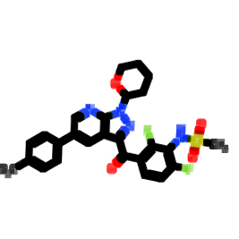 CS(=O)(=O)Nc1c(F)ccc(C(=O)c2nn(C3CCCCO3)c3ncc(-c4ccc(C(=O)O)cc4)cc23)c1F